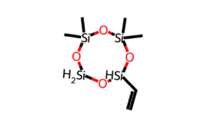 C=C[SiH]1O[SiH2]O[Si](C)(C)O[Si](C)(C)O1